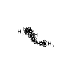 CS(=O)(=O)c1ccc(CCOc2ccc(C(=O)Nc3ccc(O)c(S(C)(=O)=O)c3)cc2)cc1